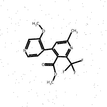 COC(=O)c1c(-c2ccncc2OC)cc(C)nc1C(F)(F)F